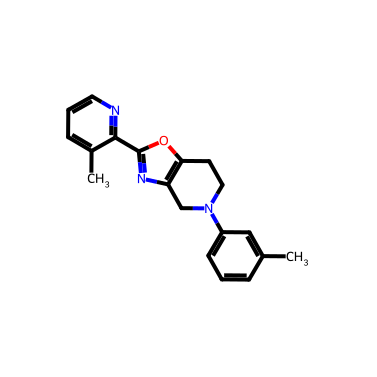 Cc1cccc(N2CCc3oc(-c4ncccc4C)nc3C2)c1